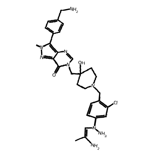 C/C(N)=C/N(N)c1ccc(CN2CCC(O)(Cn3cnc4c(-c5ccc(CN)cc5)n(C)nc4c3=O)CC2)c(Cl)c1